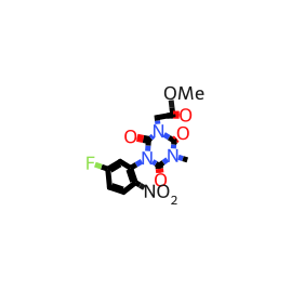 COC(=O)Cn1c(=O)n(C)c(=O)n(-c2cc(F)ccc2[N+](=O)[O-])c1=O